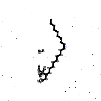 CCCCCCCC/C=C\CCCCCCCCC(CN)S(=O)(=O)OC.[NaH]